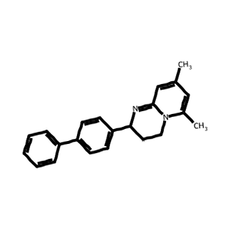 CC1=CC2=NC(c3ccc(-c4ccccc4)cc3)[C]CN2C(C)=C1